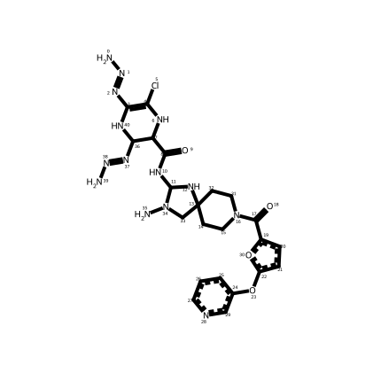 NN=NC1=C(Cl)NC(C(=O)NC2NC3(CCN(C(=O)c4ccc(Oc5cccnc5)o4)CC3)CN2N)C(N=NN)N1